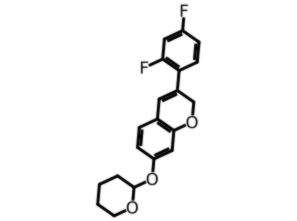 Fc1ccc(C2=Cc3ccc(OC4CCCCO4)cc3OC2)c(F)c1